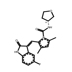 Cc1[c]c(C)n(C(=O)N[C@@H]2CCOC2)c1C=C1C(=O)Nc2ccc(F)cc21